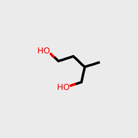 CC(CO)CCO